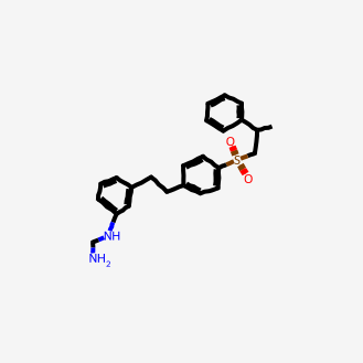 CC(CS(=O)(=O)c1ccc(CCc2cccc(NCN)c2)cc1)c1ccccc1